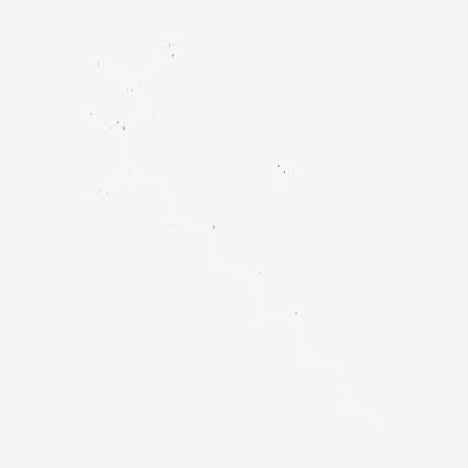 CCCCCCCCCCCC(=O)N(C)CC(=O)O.[Na]